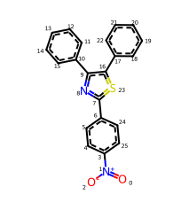 O=[N+]([O-])c1ccc(-c2nc(-c3ccccc3)c(-c3ccccc3)s2)cc1